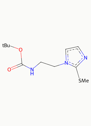 CSc1nccn1CCNC(=O)OC(C)(C)C